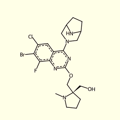 CN1CCC[C@@]1(CO)COc1nc(N2CC3CCC(C2)N3)c2cc(Cl)c(Br)c(F)c2n1